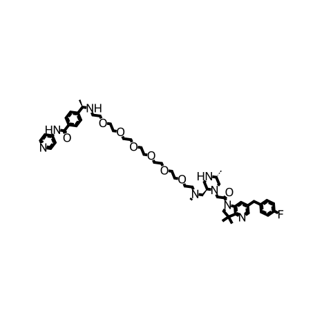 C[C@@H]1CN(CC(=O)N2CC(C)(C)c3ncc(Cc4ccc(F)cc4)cc32)[C@@H](CN(C)CCOCCOCCOCCOCCOCCOCCN[C@H](C)c2ccc(C(=O)Nc3ccncc3)cc2)CN1